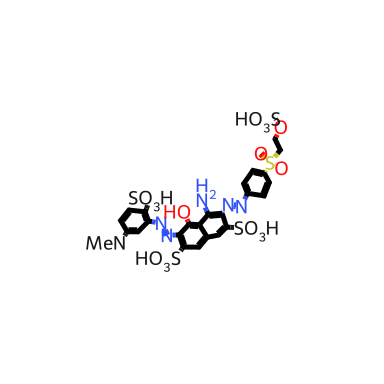 CNc1ccc(S(=O)(=O)O)c(/N=N/c2c(S(=O)(=O)O)cc3cc(S(=O)(=O)O)c(/N=N/c4ccc(S(=O)(=O)CCOS(=O)(=O)O)cc4)c(N)c3c2O)c1